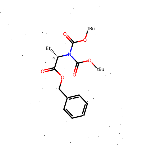 CC[C@@H](C(=O)OCc1ccccc1)N(C(=O)OC(C)(C)C)C(=O)OC(C)(C)C